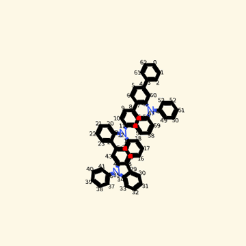 c1ccc(-c2ccc(-c3ccc(N(c4ccccc4)c4ccccc4-c4ccc5c6ccccc6n(-c6ccccc6)c5c4)cc3)c(N(c3ccccc3)c3ccccc3)c2)cc1